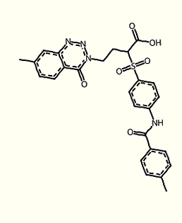 Cc1ccc(C(=O)Nc2ccc(S(=O)(=O)C(CCn3nnc4cc(C)ccc4c3=O)C(=O)O)cc2)cc1